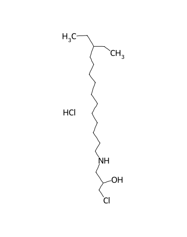 CCC(CC)CCCCCCCCCCCNCC(O)CCl.Cl